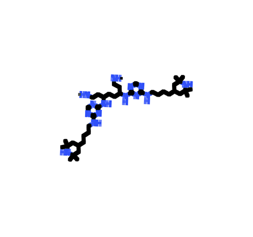 CC1(C)CC(CCCCNc2ncnc(NC(CC[NH])CCC(CC[NH])Nc3ncnc(NCCCCC4CC(C)(C)NC(C)(C)C4)n3)n2)CC(C)(C)N1